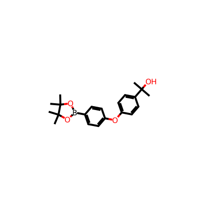 CC(C)(O)c1ccc(Oc2ccc(B3OC(C)(C)C(C)(C)O3)cc2)cc1